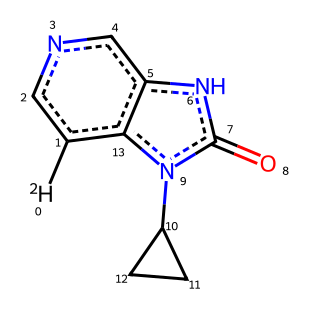 [2H]c1cncc2[nH]c(=O)n(C3CC3)c12